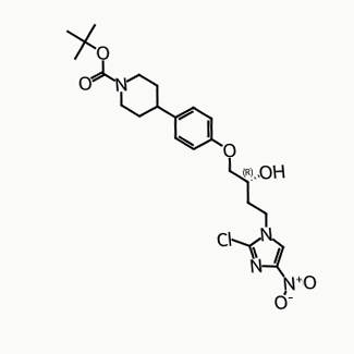 CC(C)(C)OC(=O)N1CCC(c2ccc(OC[C@H](O)CCn3cc([N+](=O)[O-])nc3Cl)cc2)CC1